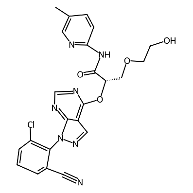 Cc1ccc(NC(=O)[C@H](COCCO)Oc2ncnc3c2cnn3-c2c(Cl)cccc2C#N)nc1